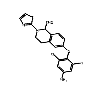 Nc1cc(Cl)c(Oc2ccc3c(c2)CCN(c2nccs2)C3C=O)c(Cl)c1